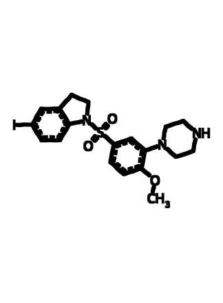 COc1ccc(S(=O)(=O)N2CCc3cc(I)ccc32)cc1N1CCNCC1